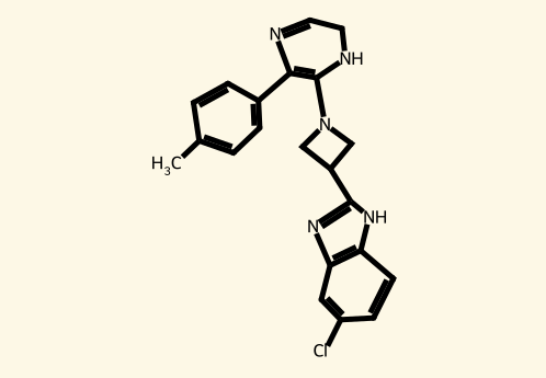 Cc1ccc(C2=C(N3CC(c4nc5cc(Cl)ccc5[nH]4)C3)NCC=N2)cc1